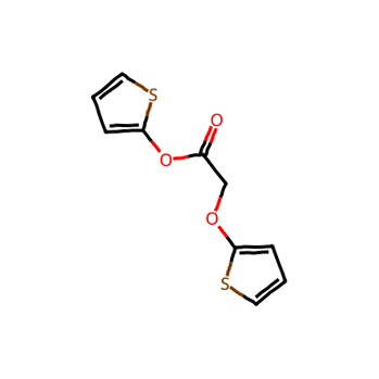 O=C(COc1cccs1)Oc1cccs1